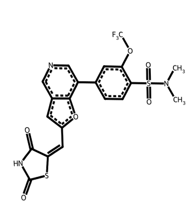 CN(C)S(=O)(=O)c1ccc(-c2cncc3cc(/C=C4/SC(=O)NC4=O)oc23)cc1OC(F)(F)F